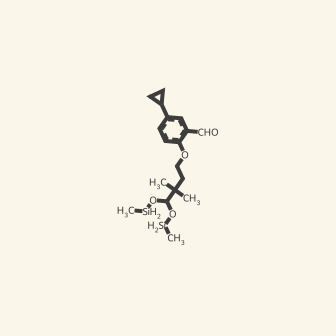 C[SiH2]OC(O[SiH2]C)C(C)(C)CCOc1ccc(C2CC2)cc1C=O